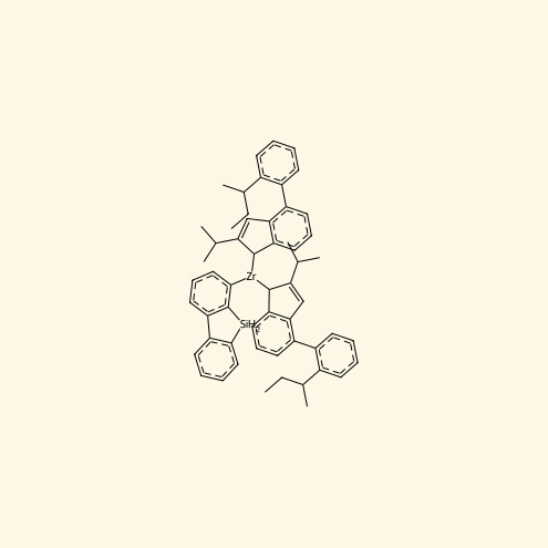 CCC(C)c1ccccc1-c1cccc2c1C=C(C(C)C)[CH]2[Zr]([c]1cccc2c1[SiH2]c1ccccc1-2)[CH]1C(C(C)C)=Cc2c(-c3ccccc3C(C)CC)cccc21